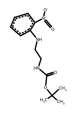 CC(C)(C)OC(=O)NCCNc1ccccc1[N+](=O)[O-]